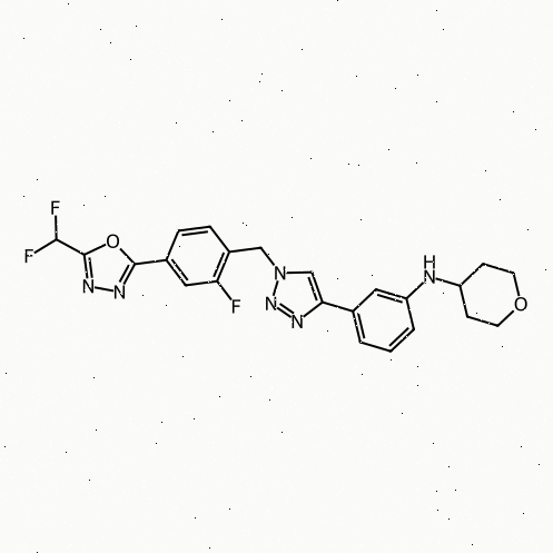 Fc1cc(-c2nnc(C(F)F)o2)ccc1Cn1cc(-c2cccc(NC3CCOCC3)c2)nn1